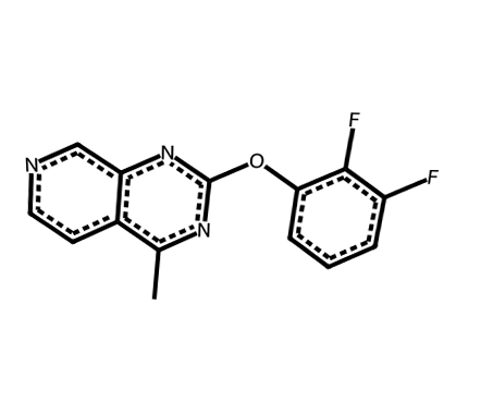 Cc1nc(Oc2cccc(F)c2F)nc2cnccc12